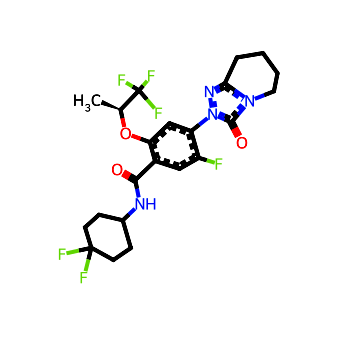 C[C@H](Oc1cc(-n2nc3n(c2=O)CCCC3)c(F)cc1C(=O)NC1CCC(F)(F)CC1)C(F)(F)F